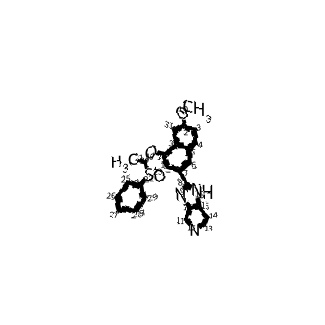 COc1ccc2cc(-c3nc4cnccc4[nH]3)cc(OC(C)[S+]([O-])c3ccccc3)c2c1